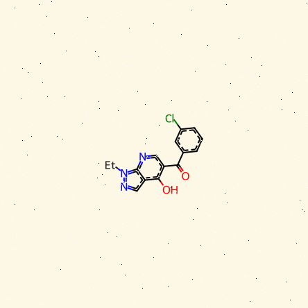 CCn1ncc2c(O)c(C(=O)c3cccc(Cl)c3)cnc21